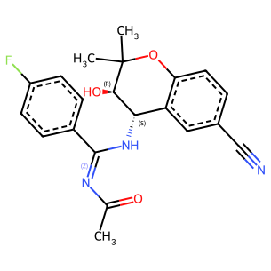 CC(=O)/N=C(\N[C@H]1c2cc(C#N)ccc2OC(C)(C)[C@@H]1O)c1ccc(F)cc1